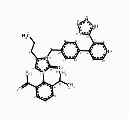 CCCc1cn(-c2c(C(=O)O)cccc2C(C)C)c(=O)n1Cc1ccc(-c2ccncc2-c2nnn[nH]2)cc1